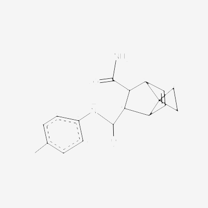 NC(=O)C1C(C(O)Nc2ccc(I)cc2)C2C=CC1C21CC1